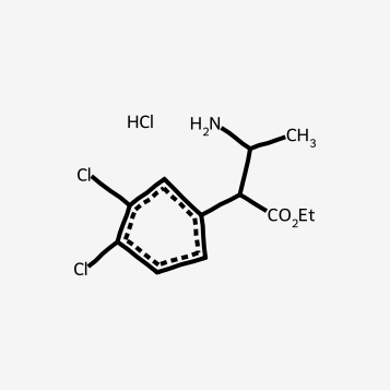 CCOC(=O)C(c1ccc(Cl)c(Cl)c1)C(C)N.Cl